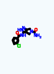 NC(=O)N1Cc2n[nH]c(NC(=O)c3cccc(Cl)c3)c2C1